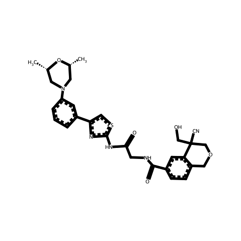 C[C@@H]1CN(c2cccc(-c3csc(NC(=O)CNC(=O)c4ccc5c(c4)C(C#N)(CO)COC5)n3)c2)C[C@H](C)O1